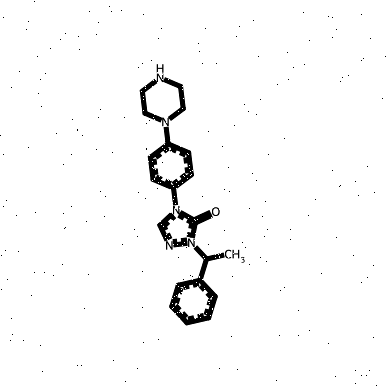 CC(c1ccccc1)n1ncn(-c2ccc(N3CCNCC3)cc2)c1=O